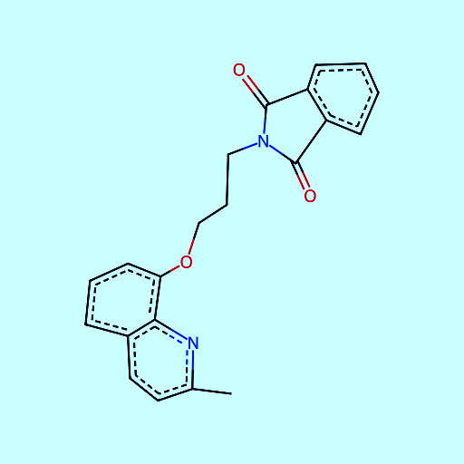 Cc1ccc2cccc(OCCCN3C(=O)c4ccccc4C3=O)c2n1